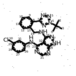 CC(C)(C)n1nnc(-c2ccccc2CNc2n[nH]c3ncnc(Nc4cccc(Cl)c4)c23)n1